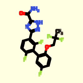 NC(=O)c1nc(-c2ccc(F)c(-c3cc(F)ccc3OCC(F)(F)C(F)(F)F)c2F)n[nH]1